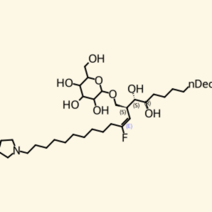 CCCCCCCCCCCCCC[C@@H](O)[C@@H](O)[C@@H](/C=C(/F)CCCCCCCCCCN1CCCC1)COC1OC(CO)C(O)C(O)C1O